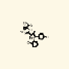 Cc1c(C(=NC#N)NC2(C(N)=O)CC2)nn(-c2ccccc2Cl)c1-c1ccc(Cl)cc1